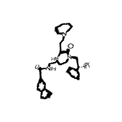 CC(C)[C@@H](CN1CCC(CNC(=O)c2ccc3ccccc3c2)NC(CCN2CCCCC2)C1=O)c1ccccc1